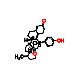 C=C1CCO[C@]12CC[C@H]1[C@@H]3CCC4=CC(=O)CCC4=C3[C@@H](c3ccc(O)cc3)C[C@@]12C